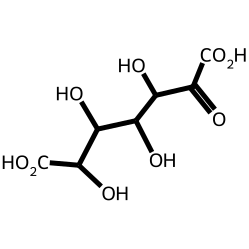 O=C(O)C(=O)C(O)C(O)C(O)C(O)C(=O)O